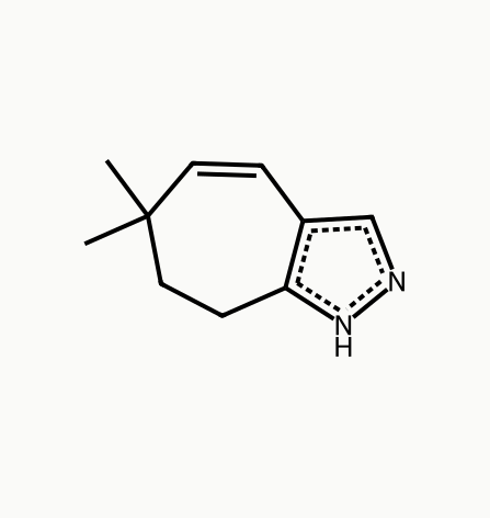 CC1(C)C=Cc2cn[nH]c2CC1